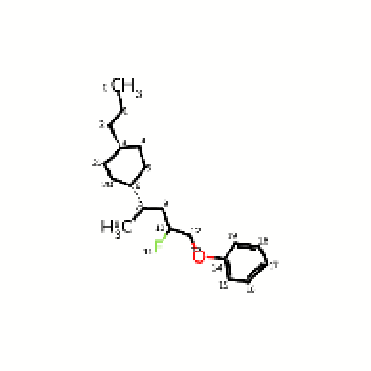 CCC[C@H]1CC[C@H](C(C)CC(F)COc2ccccc2)CC1